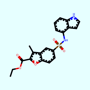 CCOC(=O)c1oc2ccc(S(=O)(=O)Nc3cccc4[nH]ccc34)cc2c1C